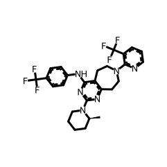 C[C@H]1CCCCN1c1nc2c(c(Nc3ccc(C(F)(F)F)cc3)n1)CCN(c1ncccc1C(F)(F)F)CC2